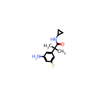 CC(C)(C(=O)NC1CC1)c1cc(N)cc(F)c1